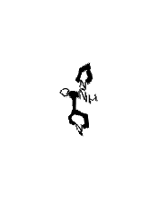 CN1CCC(C(=O)NN2CCCC2)CC1